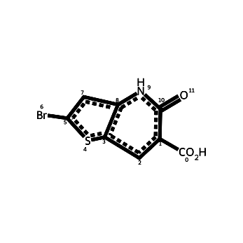 O=C(O)c1cc2sc(Br)cc2[nH]c1=O